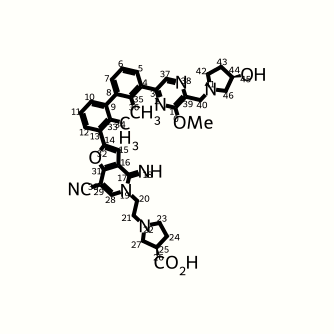 COc1nc(-c2cccc(-c3cccc(-c4cc5c(=N)n(CCN6CC[C@@H](C(=O)O)C6)cc(C#N)c5o4)c3C)c2C)cnc1CN1CC[C@@H](O)C1